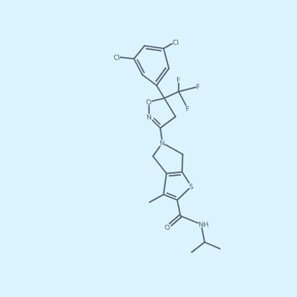 Cc1c(C(=O)NC(C)C)sc2c1CN(C1=NOC(c3cc(Cl)cc(Cl)c3)(C(F)(F)F)C1)C2